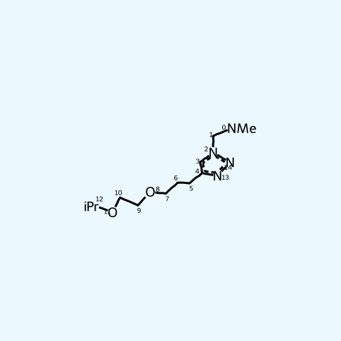 CNCn1cc(CCCOCCOC(C)C)nn1